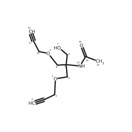 C#CCOCC(CO)(COCC#C)NC(C)=O